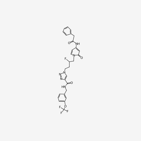 O=C(Cc1ccccc1)Nc1ccn(CC(F)CCn2cc(C(=O)NCc3cccc(OC(F)(F)F)c3)nn2)c(=O)c1